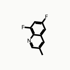 Cc1cnc2c(F)cc(F)cc2c1